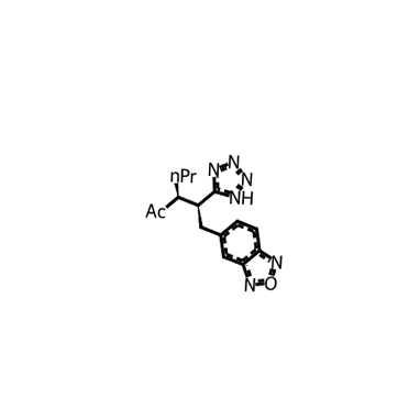 CCC[C@H](C(C)=O)[C@H](Cc1ccc2nonc2c1)c1nnn[nH]1